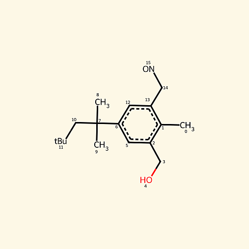 Cc1c(CO)cc(C(C)(C)CC(C)(C)C)cc1CN=O